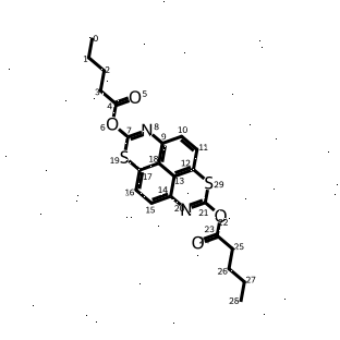 CCCCC(=O)OC1=Nc2ccc3c4c(ccc(c24)S1)N=C(OC(=O)CCCC)S3